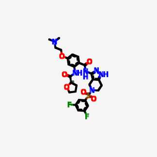 CN(C)CCOc1ccc(C(=O)Nc2n[nH]c3c2CN(S(=O)(=O)c2cc(F)cc(F)c2)CC3)c(NC(=O)[C@H]2CCCO2)c1